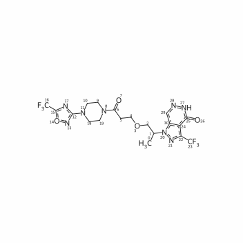 CC(COCCC(=O)N1CCN(c2noc(C(F)(F)F)n2)CC1)n1nc(C(F)(F)F)c2c(=O)[nH]ncc21